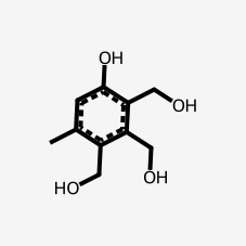 Cc1cc(O)c(CO)c(CO)c1CO